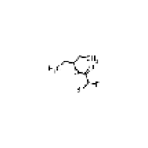 CCC(CC)OC(=O)C(F)Br